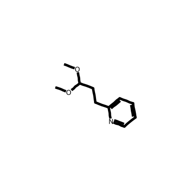 COC(CCc1ccccn1)OC